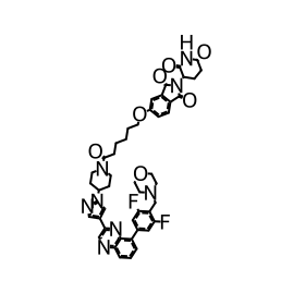 O=C1CCC(N2C(=O)c3ccc(OCCCCCC(=O)N4CCC(n5cc(-c6cnc7cccc(-c8cc(F)c(CN9CCOCC9)c(F)c8)c7n6)cn5)CC4)cc3C2=O)C(=O)N1